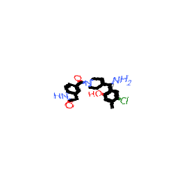 Cc1cc(O)c([C@H](N)C2CCN(C(=O)c3ccc4c(c3)CC(=O)N4)CC2)cc1Cl